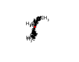 CCc1ccc(-c2ncc(C)c(CNCCCOc3ccc4c(c3)CC[C@H]4C(CC)C(=O)O)n2)cc1